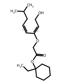 CCC1(OC(=O)COC(/C=C\CC(C)C)=C/CO)CCCCC1